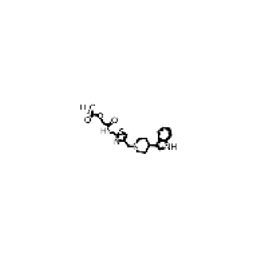 CC(=O)OCC(=O)Nc1nc(CN2CCC(c3c[nH]c4ccccc34)CC2)cs1